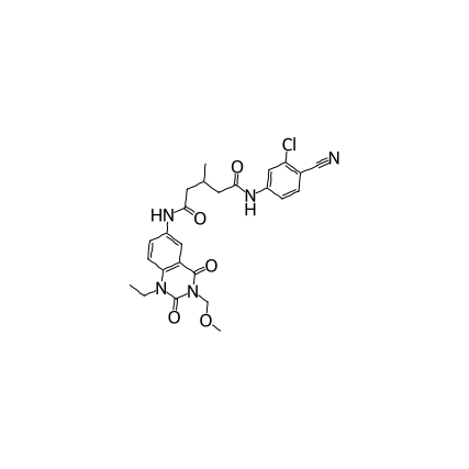 CCn1c(=O)n(COC)c(=O)c2cc(NC(=O)CC(C)CC(=O)Nc3ccc(C#N)c(Cl)c3)ccc21